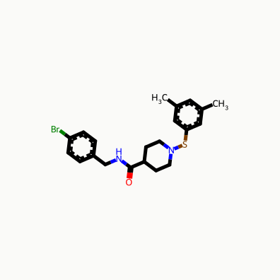 Cc1cc(C)cc(SN2CCC(C(=O)NCc3ccc(Br)cc3)CC2)c1